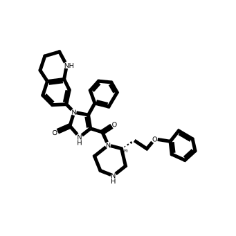 O=C(c1[nH]c(=O)n(-c2ccc3c(c2)NCCC3)c1-c1ccccc1)N1CCNC[C@H]1CCOc1ccccc1